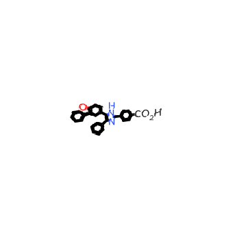 O=C(O)c1ccc(-c2nc(-c3ccccc3)c(-c3ccc4oc5ccccc5c4c3)[nH]2)cc1